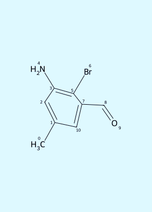 Cc1cc(N)c(Br)c(C=O)c1